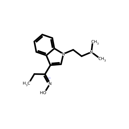 CC/C(=N\O)c1cn(CCN(C)C)c2ccccc12